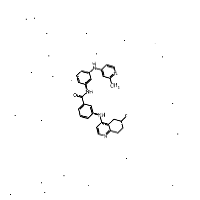 Cc1cc(Nc2cccc(NC(=O)c3cccc(Nc4ccnc5c4CC(F)CC5)c3)c2)ccn1